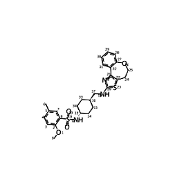 COc1ccc(C)cc1S(=O)(=O)N[C@H]1CC[C@H](CNc2nc3c(s2)CCOc2ccccc2-3)CC1